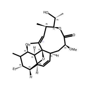 CC[C@@H]1C(C)[C@@H](O)[C@@H]2[C@H]3C=C[C@@H]4C[C@H](OC)C(=O)O[C@H]([C@@H](C)O)[C@H](C)/C=C(\C)[C@@]24O[C@H]31